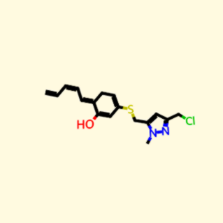 C=C/C=C\C=C1/CC=C(SCc2cc(CCl)nn2C)C=C1O